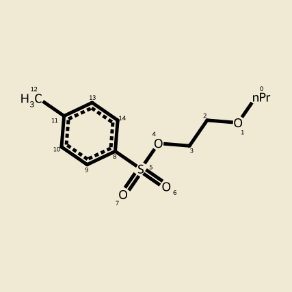 [CH2]CCOCCOS(=O)(=O)c1ccc(C)cc1